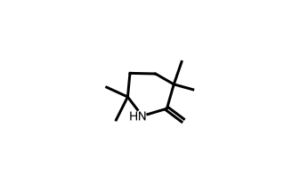 C=C1NC(C)(C)CCC1(C)C